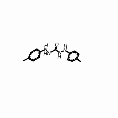 Cc1ccc(NNC(=O)NNc2ccc(C)cc2)cc1